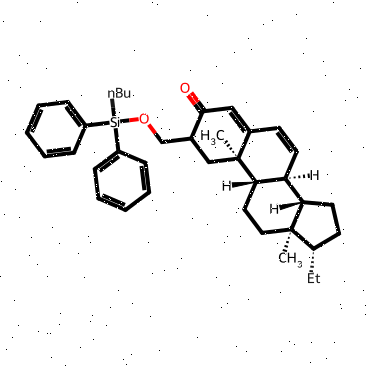 CCCC[Si](OCC1C[C@@]2(C)C(=CC1=O)C=C[C@H]1[C@@H]3CC[C@H](CC)[C@@]3(C)CC[C@@H]12)(c1ccccc1)c1ccccc1